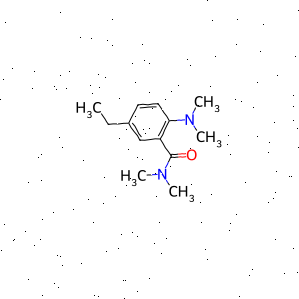 CCc1ccc(N(C)C)c(C(=O)N(C)C)c1